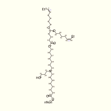 CC/C=C\CCCCOC(CCCC(=O)OCCCCCCCN(CCCO)CCCCCCCC(=O)OCCCCCCCCC)OCCCC/C=C\CC